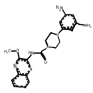 COc1nc2ccccc2nc1NC(=O)N1CCN(c2cc(N)cc(N)c2)CC1